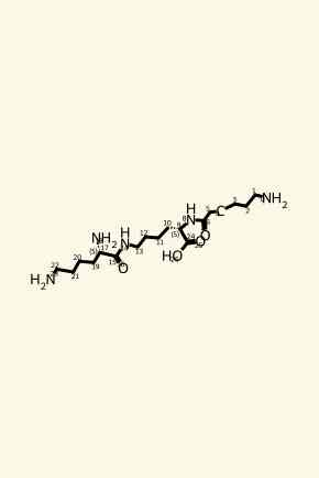 NCCCCCC(=O)N[C@@H](CCCCNC(=O)[C@@H](N)CCCCN)C(=O)O